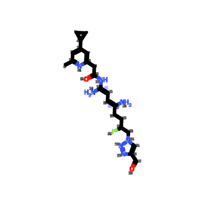 Cc1cc(C2CC2)cc(CC(=O)N/C(N)=C/C=C(\N)CCC(F)Cn2cc(C=O)nn2)n1